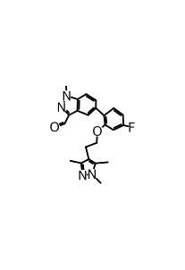 Cc1nn(C)c(C)c1CCOc1cc(F)ccc1-c1ccc2c(c1)c(C=O)nn2C